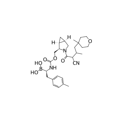 Cc1ccc(C[C@H](NC(=O)OC[C@H]2[C@H]3C[C@H]3CN2C(=O)C(C#N)C(C)CC2(C)CCOCC2)B(O)O)cc1